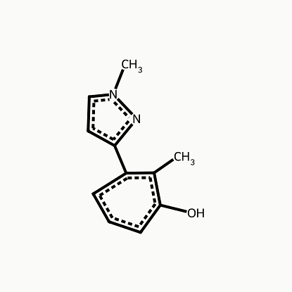 Cc1c(O)cccc1-c1ccn(C)n1